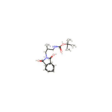 C[C@@H](CNC(=O)OC(C)(C)C)CN1C(=O)c2ccccc2C1=O